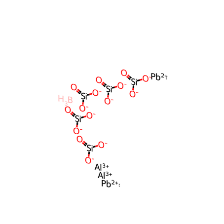 B.O=[Si]([O-])[O-].O=[Si]([O-])[O-].O=[Si]([O-])[O-].O=[Si]([O-])[O-].O=[Si]([O-])[O-].[Al+3].[Al+3].[Pb+2].[Pb+2]